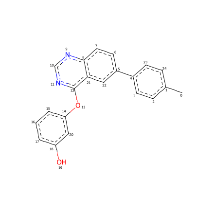 Cc1ccc(-c2ccc3ncnc(Oc4cccc(O)c4)c3c2)cc1